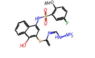 C=C(/N=C\NN)Sc1cc(NS(=O)(=O)c2cc(F)ccc2OC)c2ccccc2c1O